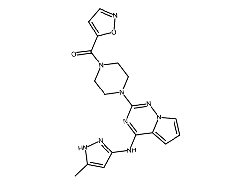 Cc1cc(Nc2nc(N3CCN(C(=O)c4ccno4)CC3)nn3cccc23)n[nH]1